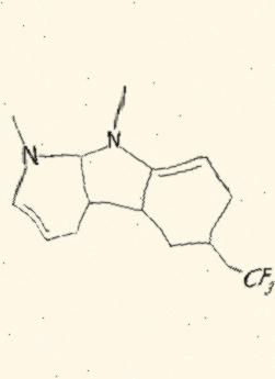 CN1C=CC2C3CC(C(F)(F)F)CC=C3N(C)C21